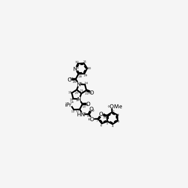 COc1cccc2cc(OC(=O)NC(CC(C)C)C(=O)N3CCC4C3C(=O)CN4C(=O)c3ccccn3)oc12